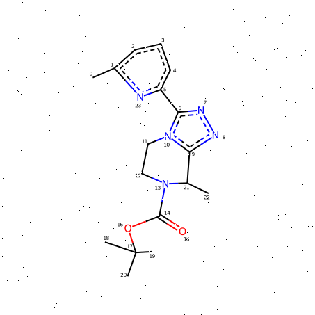 Cc1cccc(-c2nnc3n2CCN(C(=O)OC(C)(C)C)C3C)n1